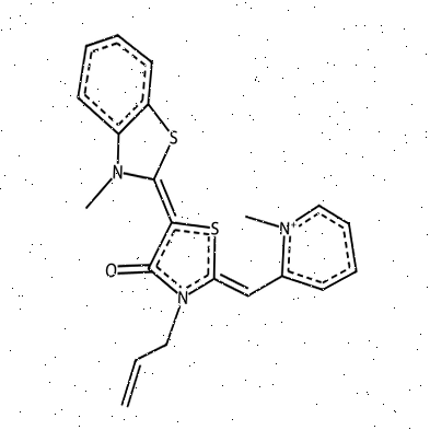 C=CCn1c(=Cc2cccc[n+]2C)sc(=C2Sc3ccccc3N2C)c1=O